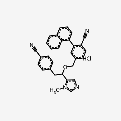 Cl.Cn1cncc1C(Cc1ccc(C#N)cc1)OCc1ccc(C#N)c(-c2cccc3ccccc23)c1